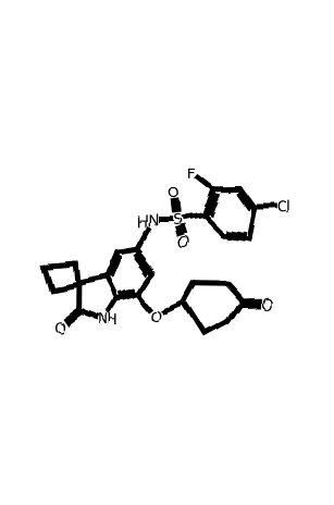 O=C1CCC(Oc2cc(NS(=O)(=O)c3ccc(Cl)cc3F)cc3c2NC(=O)C32CCC2)CC1